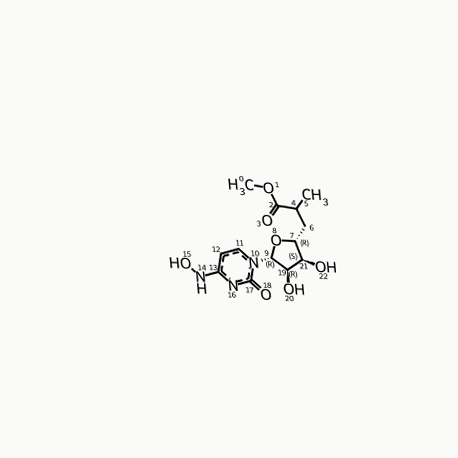 COC(=O)C(C)C[C@H]1O[C@@H](n2ccc(NO)nc2=O)[C@H](O)[C@@H]1O